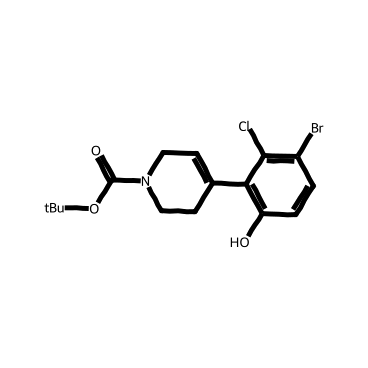 CC(C)(C)OC(=O)N1CC=C(c2c(O)ccc(Br)c2Cl)CC1